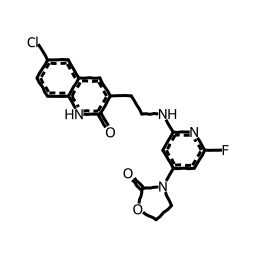 O=C1OCCN1c1cc(F)nc(NCCc2cc3cc(Cl)ccc3[nH]c2=O)c1